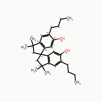 CCCCc1cc2c(cc1O)C1(CC2(C)C)CC(C)(C)c2cc(CCCC)c(O)cc21